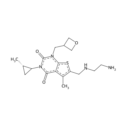 Cc1c(CNCCN)sc2c1c(=O)n(C1C[C@@H]1C)c(=O)n2CC1COC1